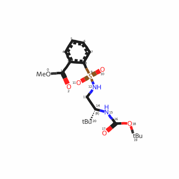 COC(=O)c1ccccc1S(=O)(=O)NC[C@H](NC(=O)OC(C)(C)C)C(C)(C)C